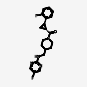 O=C([C@@H]1C[C@H]1c1ccccc1F)N1CCC(CNc2ncc(F)cn2)CC1